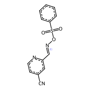 N#Cc1ccnc(/C=N/OS(=O)(=O)c2ccccc2)c1